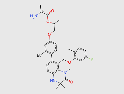 CCc1cc(OCC(C)OC(=O)[C@H](C)N)ccc1-c1ccc2c(c1COc1cc(F)ccc1C)N(C)C(=O)C(C)(C)N2